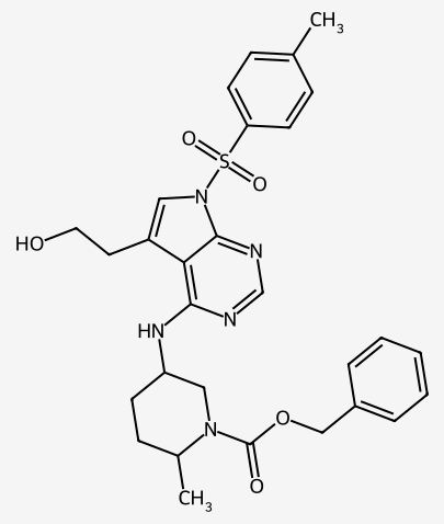 Cc1ccc(S(=O)(=O)n2cc(CCO)c3c(NC4CCC(C)N(C(=O)OCc5ccccc5)C4)ncnc32)cc1